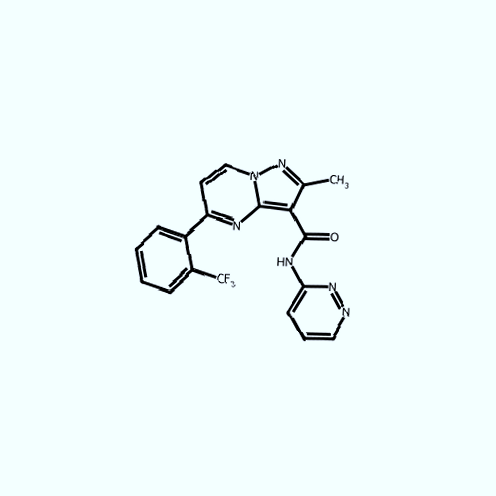 Cc1nn2ccc(-c3ccccc3C(F)(F)F)nc2c1C(=O)Nc1cccnn1